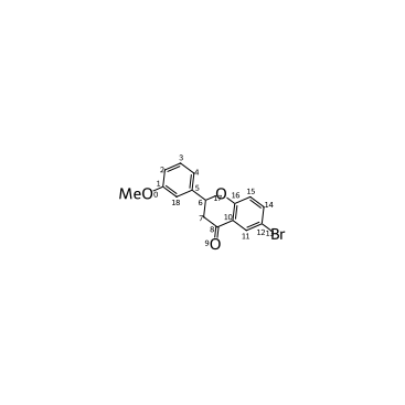 COc1cccc(C2CC(=O)c3cc(Br)ccc3O2)c1